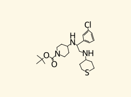 CC(C)(C)OC(=O)N1CCC(NC(CNC2CCSCC2)c2cccc(Cl)c2)CC1